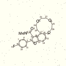 CNC(=O)c1c(-c2ccc(F)cc2)oc2ccc3c(c12)CCOCCOCCO3